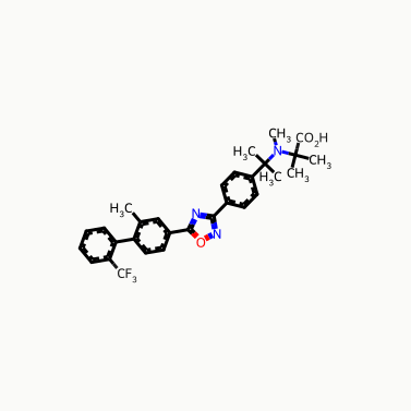 Cc1cc(-c2nc(-c3ccc(C(C)(C)N(C)C(C)(C)C(=O)O)cc3)no2)ccc1-c1ccccc1C(F)(F)F